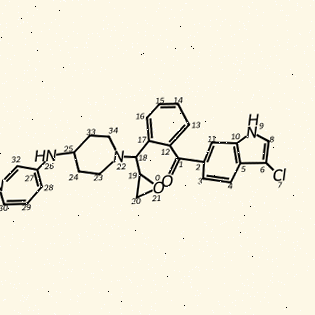 O=C(c1ccc2c(Cl)c[nH]c2c1)c1ccccc1C(C1CO1)N1CCC(Nc2cccnc2)CC1